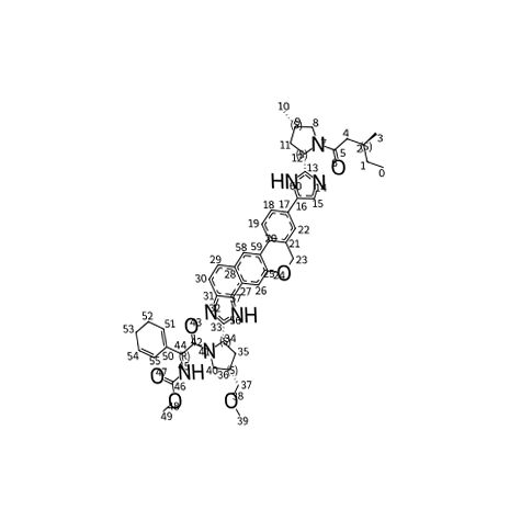 CC[C@H](C)CC(=O)N1C[C@@H](C)C[C@H]1c1ncc(-c2ccc3c(c2)COc2cc4c(ccc5nc([C@@H]6C[C@H](COC)CN6C(=O)[C@H](NC(=O)OC)C6=CCCC=C6)[nH]c54)cc2-3)[nH]1